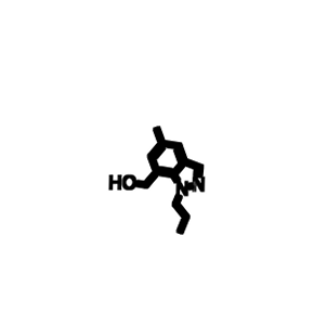 CCCn1ncc2cc(C)cc(CO)c21